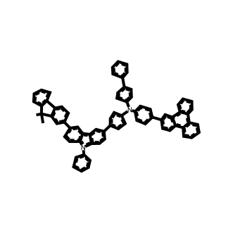 CC1(C)c2ccccc2-c2ccc(-c3ccc4c(c3)c3cc(-c5ccc(N(c6ccc(-c7ccccc7)cc6)c6ccc(-c7ccc8c9ccccc9c9ccccc9c8c7)cc6)cc5)ccc3n4-c3ccccc3)cc21